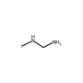 NCNI